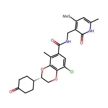 CSc1cc(C)[nH]c(=O)c1CNC(=O)c1cc(Cl)c2c(c1C)O[C@@H](C1CCC(=O)CC1)CO2